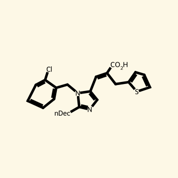 CCCCCCCCCCc1ncc(/C=C(\Cc2cccs2)C(=O)O)n1Cc1ccccc1Cl